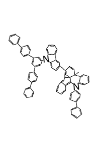 CC1C=c2ccccc2=C2N(c3ccc(-c4ccccc4)cc3)c3ccccc3C3(C)C=CC(c4ccc5c(c4)c4ccccc4n5-c4cc(-c5ccc(-c6ccccc6)cc5)cc(-c5ccc(-c6ccccc6)cc5)c4)=CC213